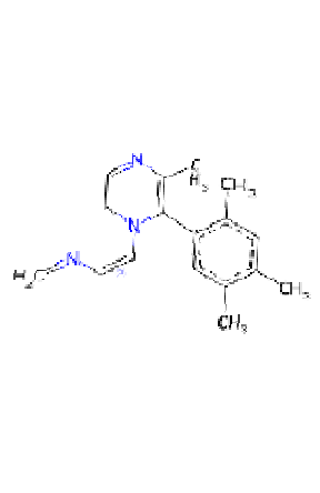 C=N/C=C\N1CC=NC(C)=C1c1cc(C)c(C)cc1C